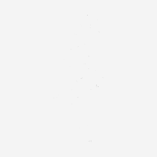 CC(C)(C)Cc1ccc2c(CC(C)(C)C)c3c(cc2c1)-c1nccc2c1c(cc1ccc(C4CCC(C)(C)CC4)cc12)S3